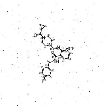 Cl.O=C(C1CC1)N1CCN(c2nc(NCc3ccc(F)cc3)c3ccccc3n2)CC1